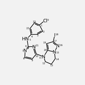 Clc1ccc(Nc2nccc(N3CCCn4nc(I)cc43)n2)cc1